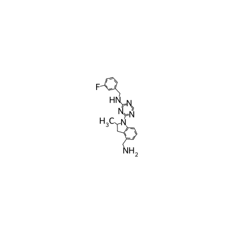 CC1Cc2c(CN)cccc2N1c1ncnc(NCc2cccc(F)c2)n1